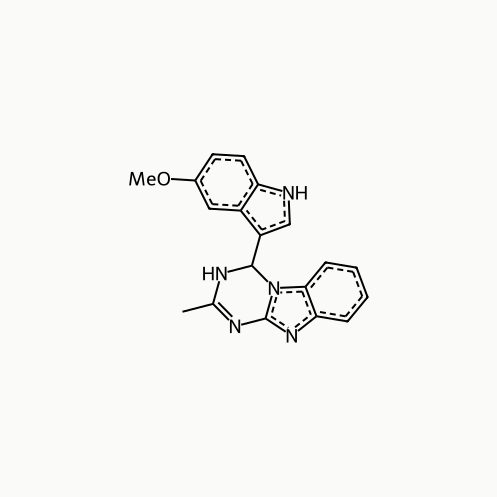 COc1ccc2[nH]cc(C3NC(C)=Nc4nc5ccccc5n43)c2c1